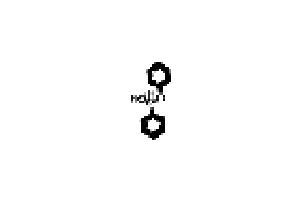 O=[PH](Oc1ccccc1)c1ccccc1.[Nd]